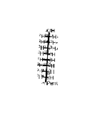 [2H]C([2H])(O)C([2H])([2H])C([2H])([2H])C([2H])([2H])C([2H])([2H])C([2H])([2H])C([2H])([2H])C([2H])([2H])CCCCC